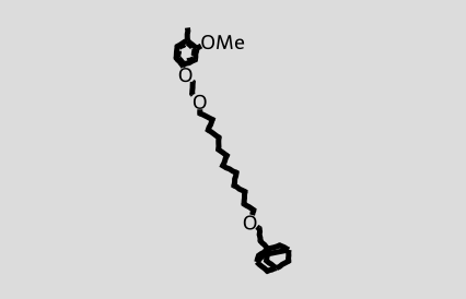 COc1cc(OCCOCCCCCCCCCCCCOCCC23CC4CC(CC(C4)C2)C3)ccc1C